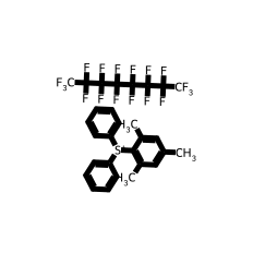 Cc1cc(C)c([S+](c2ccccc2)c2ccccc2)c(C)c1.FC(F)(F)C(F)(F)C(F)(F)C(F)(F)C(F)(F)C(F)(F)C(F)(F)C(F)(F)F